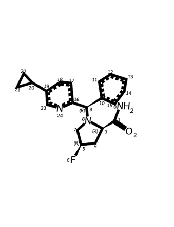 NC(=O)[C@H]1C[C@@H](F)CN1[C@H](c1ccccc1)c1ccc(C2CC2)cn1